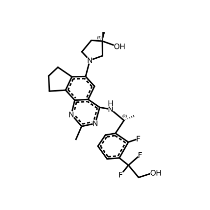 Cc1nc(N[C@H](C)c2cccc(C(F)(F)CO)c2F)c2cc(N3CC[C@](C)(O)C3)c3c(c2n1)CCC3